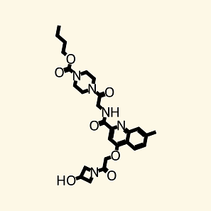 CCCCOC(=O)N1CCN(C(=O)CNC(=O)c2cc(OCC(=O)N3CC(O)C3)c3ccc(C)cc3n2)CC1